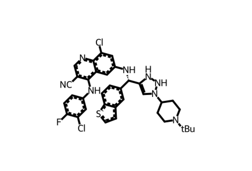 CC(C)(C)N1CCC(N2C=C([C@@H](Nc3cc(Cl)c4ncc(C#N)c(Nc5ccc(F)c(Cl)c5)c4c3)c3ccc4sccc4c3)NN2)CC1